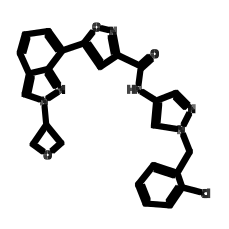 O=C(Nc1cnn(Cc2ccccc2Cl)c1)c1cc(-c2cccc3cn(C4COC4)nc23)on1